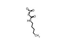 CCCCCNC(=O)N=S(=O)=O